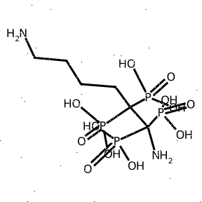 NCCCCC(C(N)(P(=O)(O)O)P(=O)(O)O)(P(=O)(O)O)P(=O)(O)O